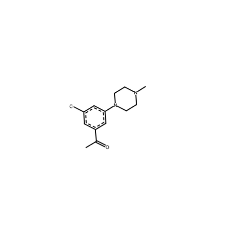 CC(=O)c1cc(Cl)cc(N2CCN(C)CC2)c1